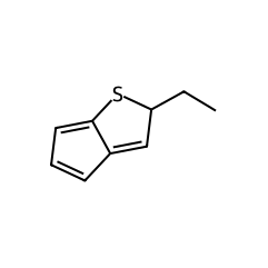 CCC1C=C2C=CC=C2S1